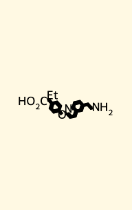 CCC(C(=O)O)c1ccc(Oc2ccc3cc(CCN)ccc3n2)cc1